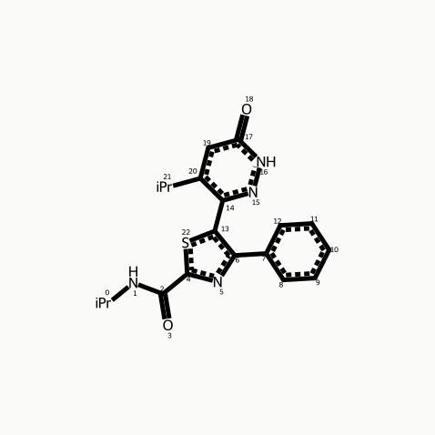 CC(C)NC(=O)c1nc(-c2ccccc2)c(-c2n[nH]c(=O)cc2C(C)C)s1